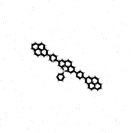 c1ccc(-n2c3cc(-c4ccc(-c5cc6ccc7cccc8ccc(c5)c6c78)cc4)cc4ccc5cc(-c6ccc(-c7cc8ccc9cccc%10ccc(c7)c8c9%10)cn6)cc2c5c43)cc1